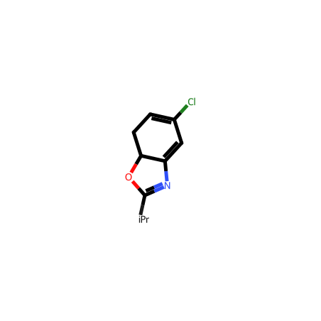 CC(C)C1=NC2=CC(Cl)=CCC2O1